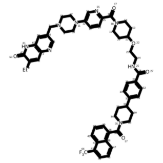 CCc1cc2ncc(CN3CCN(c4ccc(C(=O)N5CCC(OCCNC(=O)c6ccc(C7CCN(C(=O)c8cccc9c(C(F)(F)F)cccc89)CC7)cc6)CC5)nc4)CC3)cc2[nH]c1=O